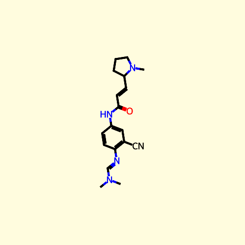 CN(C)C=Nc1ccc(NC(=O)/C=C/C2CCCN2C)cc1C#N